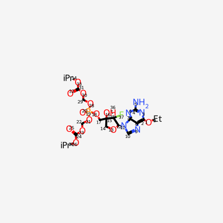 CCOc1nc(N)nc2c1ncn2[C@@H]1OCC(O)(COP(=O)(OCOC(=O)OC(C)C)OCOC(=O)OC(C)C)[C@@]1(C)F